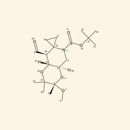 CO[C@@]1(C)O[C@@H]2CN(C(=O)OC(C)(C)C)C3(CC3)[C@H](C=O)[C@H]2OC1(C)C